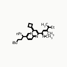 C=C(CC)/C(C)=C/C(=N\C)C1=CC(=C2CCC2)N2C=C(C(CCC)CCC(C)CC)C=CC2=N1